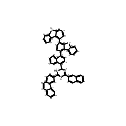 c1ccc2cc(C3=NC(c4ccc(-c5ccc(-c6cccc7oc8ccccc8c67)c6oc7ccccc7c56)c5ccccc45)NC(c4ccc5ccc6ccccc6c5c4)=N3)ccc2c1